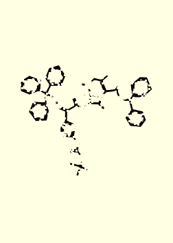 CC(C)(C)OC(=O)Nc1nc(/C(=N/OC(c2ccccc2)(c2ccccc2)c2ccccc2)C(=O)N[C@@H]2C(=O)N3C(C(=O)OC(c4ccccc4)c4ccccc4)=C(S)C[S+]([O-])[C@H]23)cs1